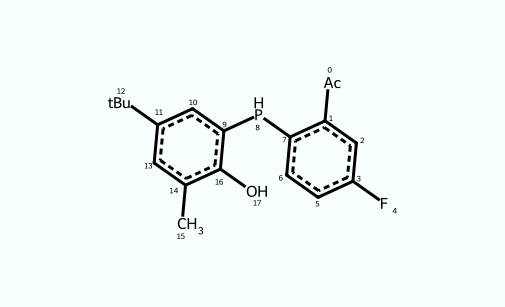 CC(=O)c1cc(F)ccc1Pc1cc(C(C)(C)C)cc(C)c1O